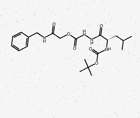 CC(C)C[C@H](NC(=O)OC(C)(C)C)C(=O)NNC(=O)OCC(=O)NCc1ccccc1